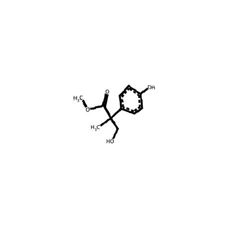 COC(=O)C(C)(CO)c1ccc(O)cc1